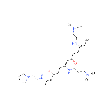 CCN(CC)CCCN/C(=C\C(=O)CC/C(=C/C(C)=O)NCCN(CC)CC)CCC(=O)/C=C(/C)NCCN1CCCC1